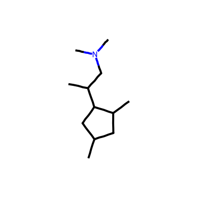 CC1CC(C)C(C(C)CN(C)C)C1